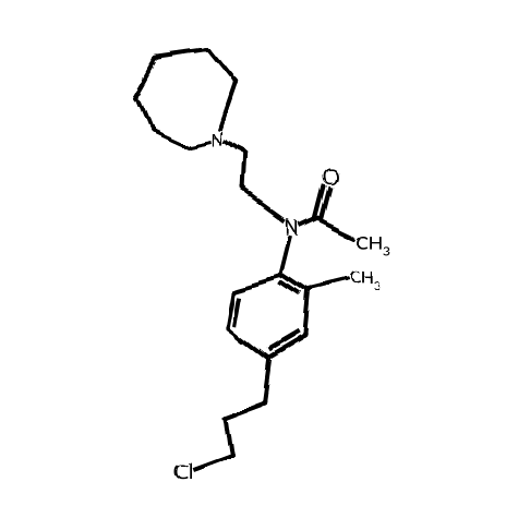 CC(=O)N(CCN1CCCCCC1)c1ccc(CCCCl)cc1C